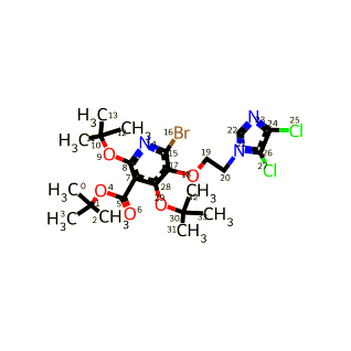 CC(C)(C)OC(=O)c1c(OC(C)(C)C)nc(Br)c(OCCn2cnc(Cl)c2Cl)c1OC(C)(C)C